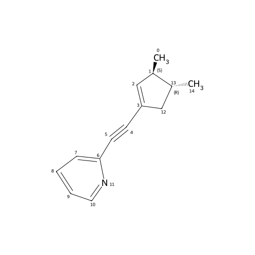 C[C@@H]1C=C(C#Cc2ccccn2)C[C@H]1C